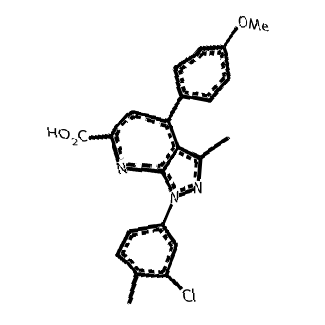 COc1ccc(-c2cc(C(=O)O)nc3c2c(C)nn3-c2ccc(C)c(Cl)c2)cc1